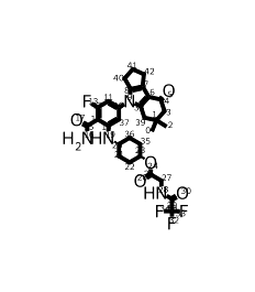 CC1(C)CC(=O)c2c3c(n(-c4cc(F)c(C(N)=O)c(N[C@H]5CC[C@H](OC(=O)CNC(=O)C(F)(F)F)CC5)c4)c2C1)CCC3